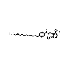 CCCCCCCCCCCCc1ccc(C(=S)C=Cc2c(C)cccc2C)cc1